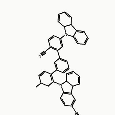 CC1C=CC(c2cccc(-c3cc(N4c5ccccc5C5C=CC=CC54)ccc3C#N)c2)=C(N2c3ccc(C#N)cc3C3C=CC=CC32)C1